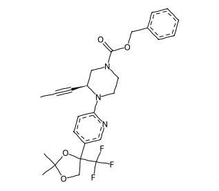 CC#C[C@H]1CN(C(=O)OCc2ccccc2)CCN1c1ccc(C2(C(F)(F)F)COC(C)(C)O2)cn1